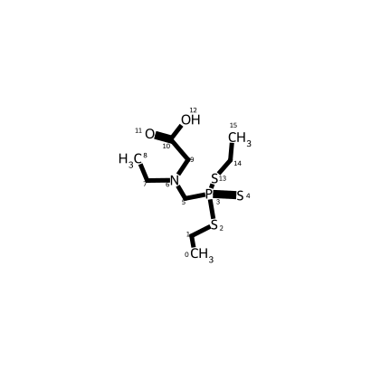 CCSP(=S)(CN(CC)CC(=O)O)SCC